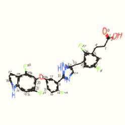 O=C(O)CCc1cc(F)cc(Cc2cnc(-c3cc(Oc4c(F)cc5[nH]ccc5c4F)ccc3F)[nH]2)c1F